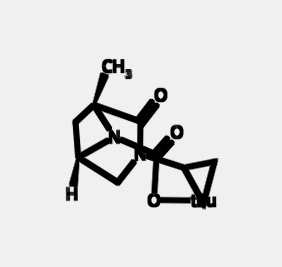 CC(C)(C)OC(=O)N1[C@@H]2CN(C3CC3)C(=O)[C@@]1(C)C2